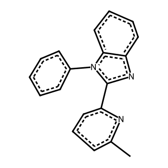 Cc1cccc(-c2nc3ccccc3n2-c2ccccc2)n1